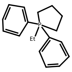 CCP1(c2ccccc2)(c2ccccc2)CCCC1